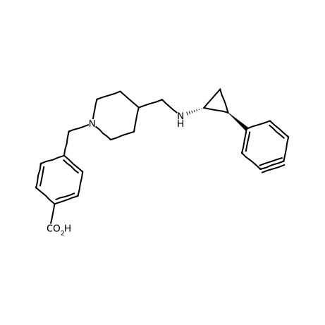 O=C(O)c1ccc(CN2CCC(CN[C@@H]3C[C@H]3c3cc#ccc3)CC2)cc1